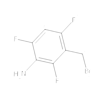 Nc1c(F)cc(F)c(CBr)c1F